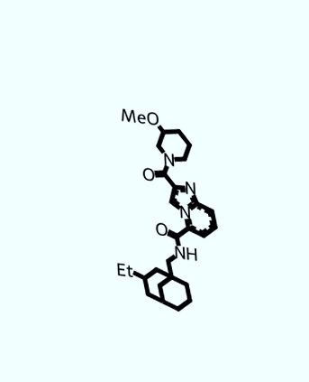 CCC1CC2CCCC(CNC(=O)c3cccc4nc(C(=O)N5CCCC(OC)C5)cn34)(C1)C2